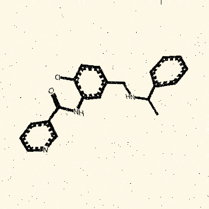 CC(NCc1ccc(Cl)c(NC(=O)c2cccnc2)c1)c1ccccc1